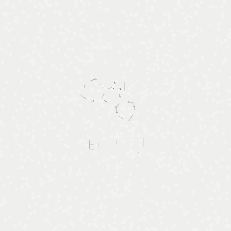 CCC(Oc1cccc2[nH]c3ccccc3c12)C(=O)O